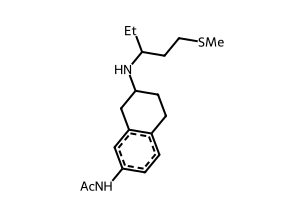 CCC(CCSC)NC1CCc2ccc(NC(C)=O)cc2C1